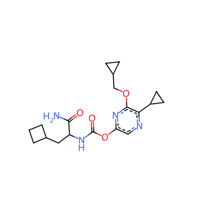 NC(=O)C(CC1CCC1)NC(=O)Oc1cnc(C2CC2)c(OCC2CC2)n1